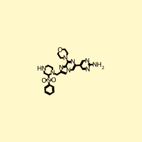 Nc1ncc(-c2cn3cc(CN4CCNCC4S(=O)(=O)c4ccccc4)nc3c(N3CCOCC3)n2)cn1